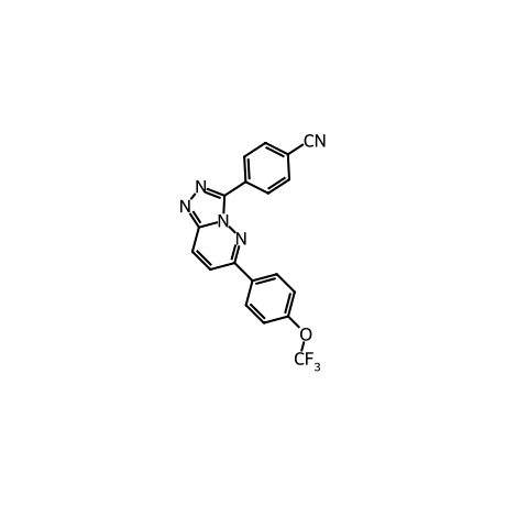 N#Cc1ccc(-c2nnc3ccc(-c4ccc(OC(F)(F)F)cc4)nn23)cc1